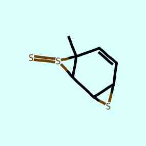 CC12C=CC3SC3C1S2=S